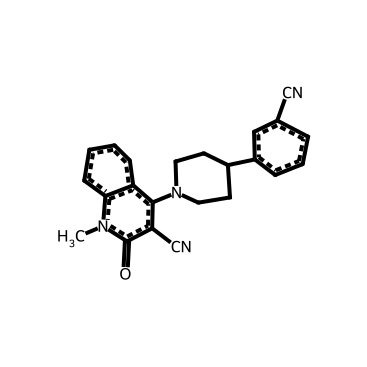 Cn1c(=O)c(C#N)c(N2CCC(c3cccc(C#N)c3)CC2)c2ccccc21